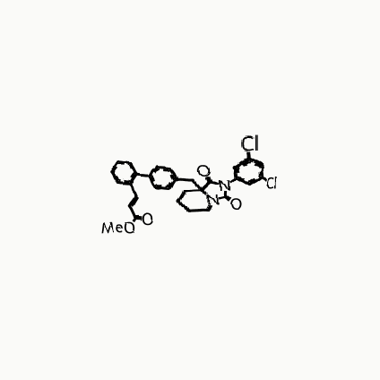 COC(=O)C=Cc1ccccc1-c1ccc(CC23CCCCN2C(=O)N(c2cc(Cl)cc(Cl)c2)C3=O)cc1